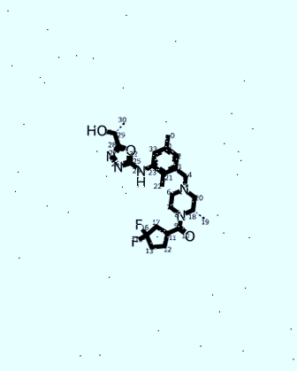 Cc1cc(CN2CCN(C(=O)C3CCC(F)(F)C3)[C@@H](C)C2)c(C)c(Nc2nnc([C@@H](C)O)o2)c1